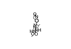 CCOC(=O)NNC1=NN=C(c2ccc3c(c2)CCC(=O)N3C)C(C)C1